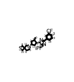 CC1CC(N2CCC3(CSC3)C2)C[C@H]1c1nc(-c2cccc(C(F)(F)F)c2)nn1C(C)C